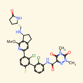 COc1nc(-c2ccc(F)c(-c3cccc(NC(=O)c4nn(C)c(=O)n(C)c4=O)c3Cl)c2Cl)cc2c1[C@@H](NC[C@@H]1CCC(=O)N1)CC2